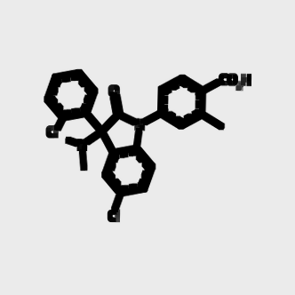 Cc1cc(N2C(=O)C(c3ccccc3Cl)(N(C)C)c3cc(Cl)ccc32)ccc1C(=O)O